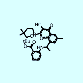 Cc1cc(C(C)Nc2ccccc2C(=O)OC(C)(C)C)c2oc(N3CCC(C)(C)CC3)c(C#N)c(=O)c2c1